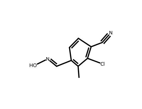 Cc1c(C=NO)ccc(C#N)c1Cl